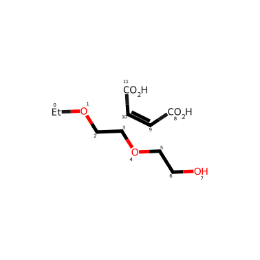 CCOCCOCCO.O=C(O)/C=C\C(=O)O